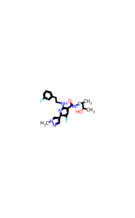 CC(O)[C@H](C)CNC(=O)c1cc(F)c(-c2cnn(C)c2)nc1NCCc1cccc(F)c1